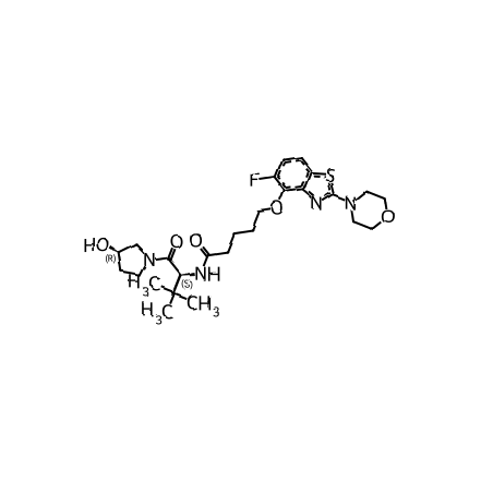 CC(C)(C)[C@H](NC(=O)CCCCOc1c(F)ccc2sc(N3CCOCC3)nc12)C(=O)N1CC[C@@H](O)C1